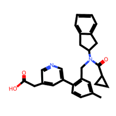 Cc1ccc(-c2cncc(CC(=O)O)c2)c(CN(C(=O)C2CC2)C2Cc3ccccc3C2)c1